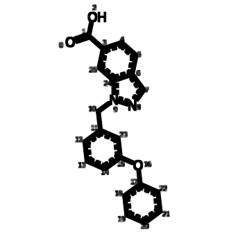 O=C(O)c1ccc2cnn(Cc3cccc(Oc4ccccc4)c3)c2c1